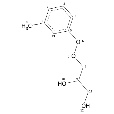 Cc1cccc(OOCC(O)CO)c1